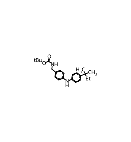 CCC(C)(C)c1ccc(Nc2ccc(CNC(=O)OC(C)(C)C)cc2)cc1